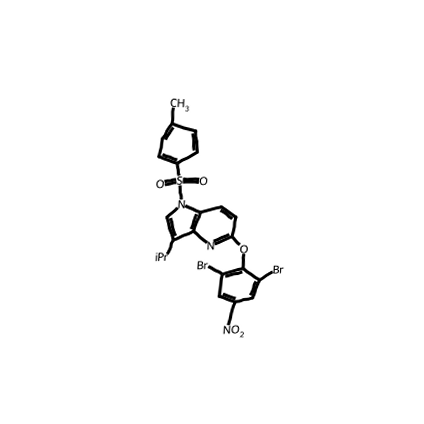 Cc1ccc(S(=O)(=O)n2cc(C(C)C)c3nc(Oc4c(Br)cc([N+](=O)[O-])cc4Br)ccc32)cc1